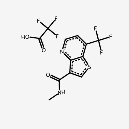 CNC(=O)c1csc2c(C(F)(F)F)ccnc12.O=C(O)C(F)(F)F